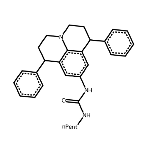 CCCCCNC(=O)Nc1cc2c3c(c1)C(c1ccccc1)CCN3CCC2c1ccccc1